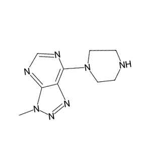 Cn1nnc2c(N3CCNCC3)ncnc21